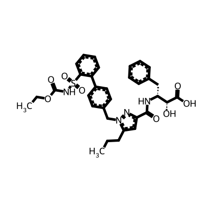 CCCc1cc(C(=O)N[C@H](Cc2ccccc2)[C@@H](O)C(=O)O)nn1Cc1ccc(-c2ccccc2S(=O)(=O)NC(=O)OCC)cc1